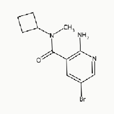 CN(C(=O)c1cc(Br)cnc1N)C1CCC1